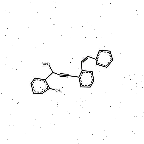 COC(C#Cc1ccccc1/C=C\c1ccccc1)c1ccccc1C